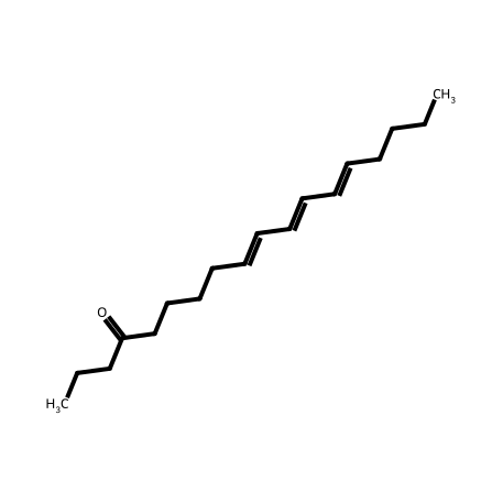 CCCCC=CC=CC=CCCCCC(=O)CCC